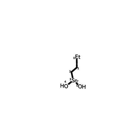 CCC[CH2][Sn]([OH])[OH]